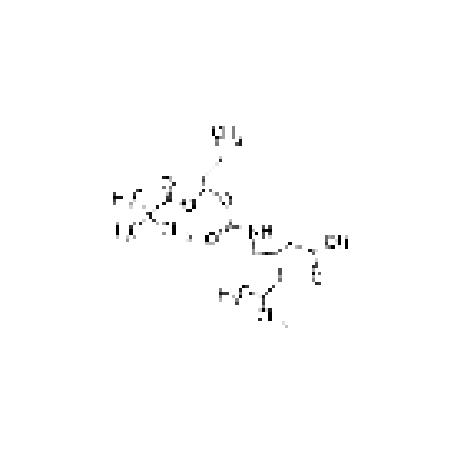 CCCC(OC(=O)NCC(CC(=O)O)CC(C)C)OC(=O)C(C)(C)C